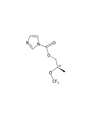 C[C@H](COC(=O)n1ccnc1)OC(F)(F)F